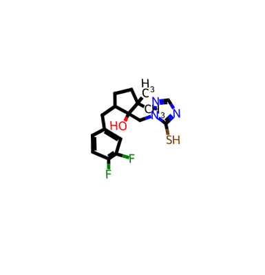 CC1(C)CCC(Cc2ccc(F)c(F)c2)C1(O)Cn1ncnc1S